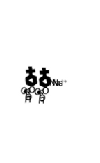 CC(C)(C)c1ccc(O[PH](=O)[O-])cc1.CC(C)(C)c1ccc(O[PH](=O)[O-])cc1.[Na+].[Na+]